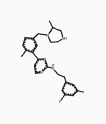 Cc1ccc(CN2CCNCC2C)cc1-c1ccnc(NCCc2cc(F)cc(F)c2)n1